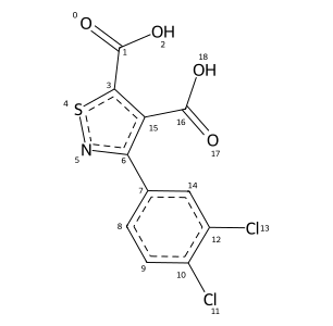 O=C(O)c1snc(-c2ccc(Cl)c(Cl)c2)c1C(=O)O